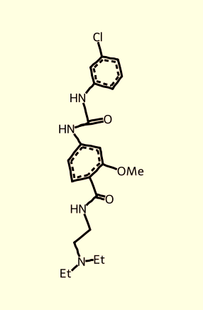 CCN(CC)CCNC(=O)c1ccc(NC(=O)Nc2cccc(Cl)c2)cc1OC